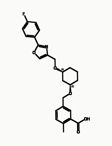 Cc1ccc(CO[C@@H]2CCC[C@H](OCc3coc(-c4ccc(F)cc4)n3)C2)cc1C(=O)O